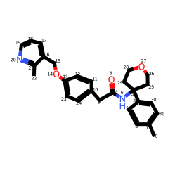 Cc1ccc(C2(NC(=O)Cc3ccc(OCc4cccnc4C)cc3)CCOCC2)cc1